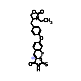 CCN1C(=O)OCC1Cc1ccc(Oc2ccc(/C=C3\SC(=S)NC3=O)c(F)c2)cc1